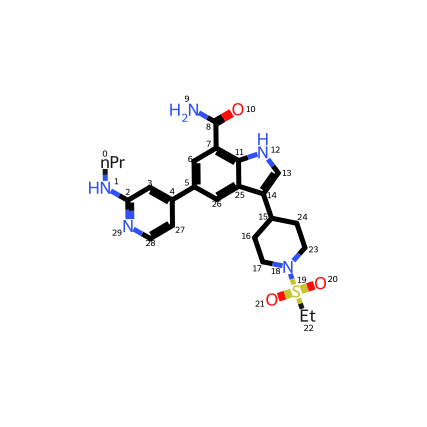 CCCNc1cc(-c2cc(C(N)=O)c3[nH]cc(C4CCN(S(=O)(=O)CC)CC4)c3c2)ccn1